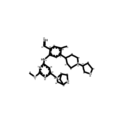 COc1nc(Nc2cc(C3CCN(C4CCOC4)CC3)c(C)cc2C=N)cc(N2CC3CC2CO3)n1